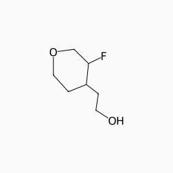 OCCC1CCOCC1F